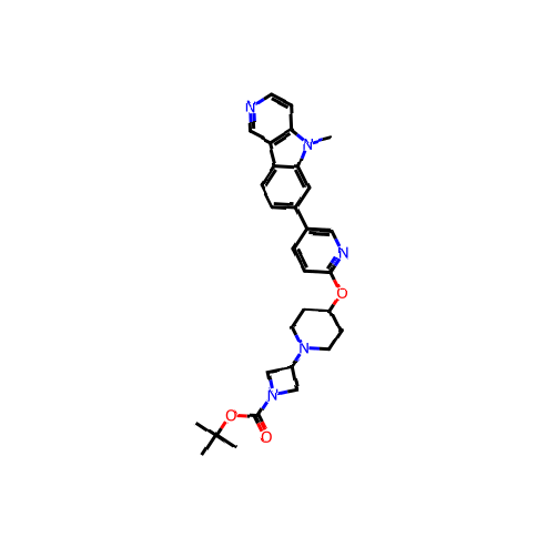 Cn1c2ccncc2c2ccc(-c3ccc(OC4CCN(C5CN(C(=O)OC(C)(C)C)C5)CC4)nc3)cc21